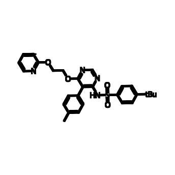 Cc1ccc(-c2c(NS(=O)(=O)c3ccc(C(C)(C)C)cc3)ncnc2OCCOc2[c]cccn2)cc1